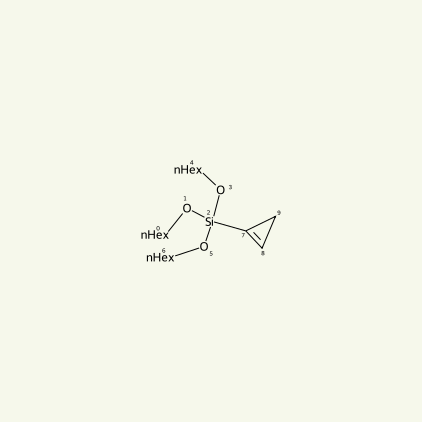 CCCCCCO[Si](OCCCCCC)(OCCCCCC)C1=CC1